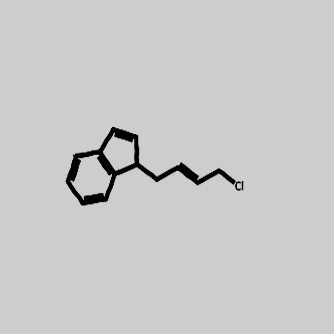 ClCC=CCC1C=Cc2[c]cccc21